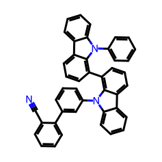 N#Cc1ccccc1-c1cccc(-n2c3ccccc3c3cccc(-c4cccc5c6ccccc6n(-c6ccccc6)c45)c32)c1